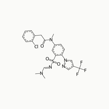 CN(C)/C=N/S(=O)(=O)c1cc(N(C)C(=O)Cc2ccccc2Cl)ccc1-n1cc(C(F)(F)F)cn1